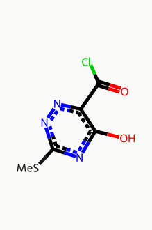 CSc1nnc(C(=O)Cl)c(O)n1